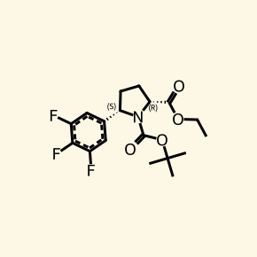 CCOC(=O)[C@H]1CC[C@@H](c2cc(F)c(F)c(F)c2)N1C(=O)OC(C)(C)C